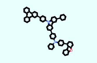 c1ccc(-c2ccc3c(c2)c2cc(-c4ccc(N(c5ccccc5)c5ccc(-c6cccc7oc8ccccc8c67)cc5)cc4)ccc2n3-c2ccc(-c3ccc4c5ccccc5c5ccccc5c4c3)cc2)cc1